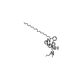 CCCCCCCCCCCCCCCCCC(NC=O)c1ccccc1COC(=O)NCCN(CC)CCCC